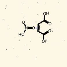 O=C(O)/C=C\C(=O)O.O=[N+]([O-])O